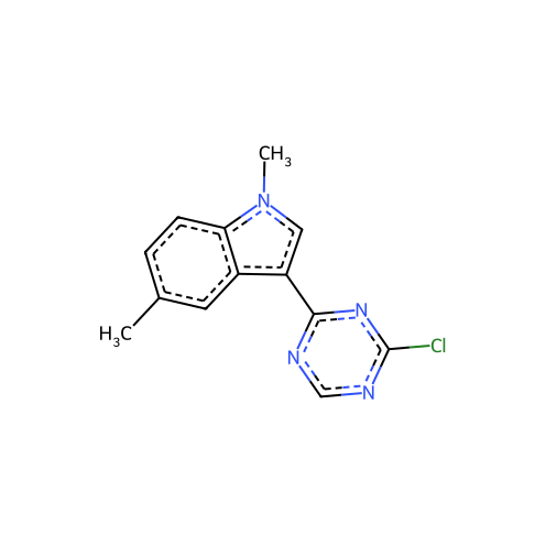 Cc1ccc2c(c1)c(-c1ncnc(Cl)n1)cn2C